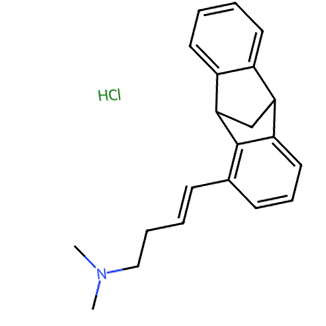 CN(C)CCC=Cc1cccc2c1C1CC2c2ccccc21.Cl